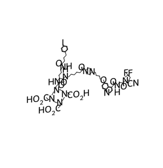 N#C[C@H]1CC(F)(F)CN1C(=O)CNC(=O)c1ccnc2ccc(OCCCCN3CCN(C(=O)CCCCCNC(=O)[C@H](CCCNC(=O)CCCc4ccc(I)cc4)NC(=O)CN4CCN(CC(=O)O)CCN(CC(=O)O)CCN(CC(=O)O)CC4)CC3)cc12